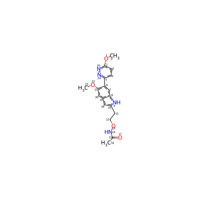 COc1ccc(-c2cc3[nH]c(CCONC(C)=O)cc3cc2OC)nn1